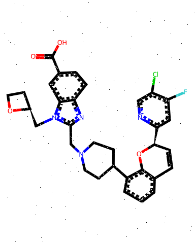 O=C(O)c1ccc2nc(CN3CCC(c4cccc5c4O[C@@H](c4cc(F)c(Cl)cn4)C=C5)CC3)n(C[C@@H]3CCO3)c2c1